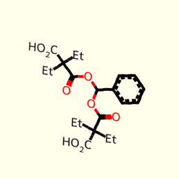 CCC(CC)(C(=O)O)C(=O)OC(OC(=O)C(CC)(CC)C(=O)O)c1ccccc1